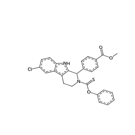 COC(=O)c1ccc(C2c3[nH]c4ccc(Cl)cc4c3CCN2C(=S)Oc2ccccc2)cc1